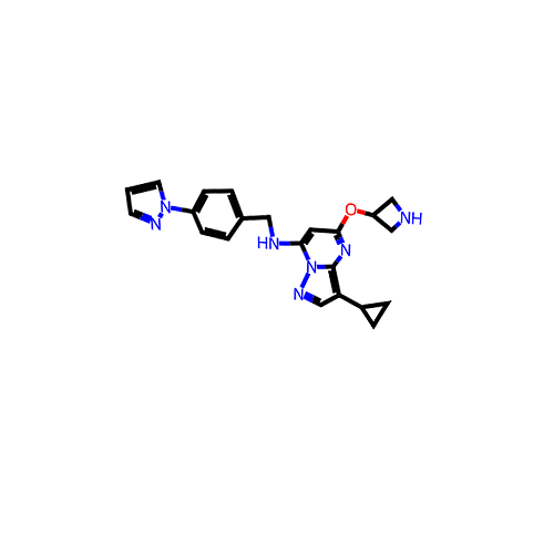 c1cnn(-c2ccc(CNc3cc(OC4CNC4)nc4c(C5CC5)cnn34)cc2)c1